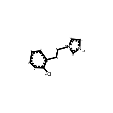 Clc1ccccc1CCn1ccnc1